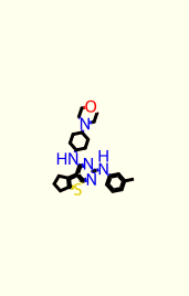 Cc1cccc(Nc2nc(NC3CCC(N4CCOCC4)CC3)c3c4c(sc3n2)CCC4)c1